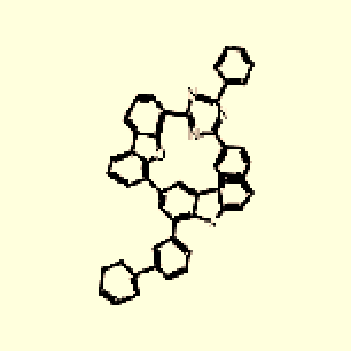 C1=CCCC(c2cccc(-c3cc(-c4cccc5c4oc4c(-c6nc(-c7ccccc7)nc(-c7ccccc7)n6)cccc45)cc4c3sc3ccccc34)c2)=C1